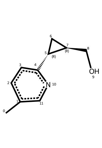 Cc1ccc([C@@H]2C[C@H]2CO)nc1